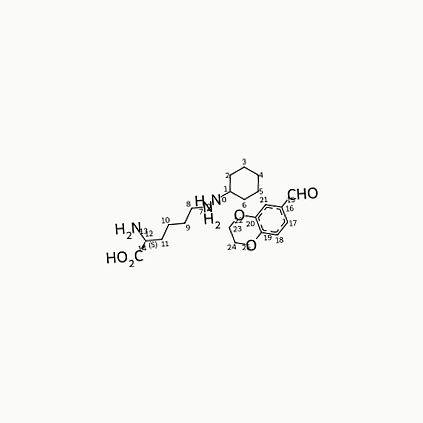 NC1CCCCC1.NCCCC[C@H](N)C(=O)O.O=Cc1ccc2c(c1)OCCO2